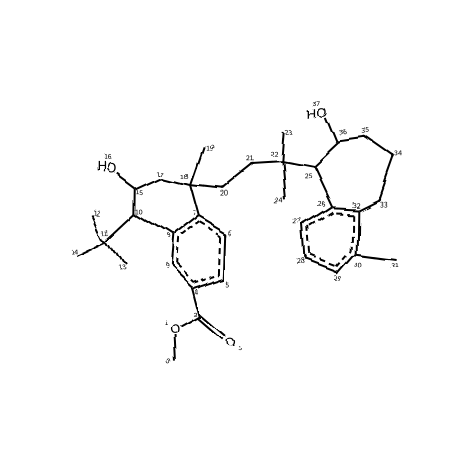 COC(=O)c1ccc2c(c1)C(C(C)(C)C)C(O)CC2(C)CCC(C)(C)C1c2cccc(C)c2CCCC1O